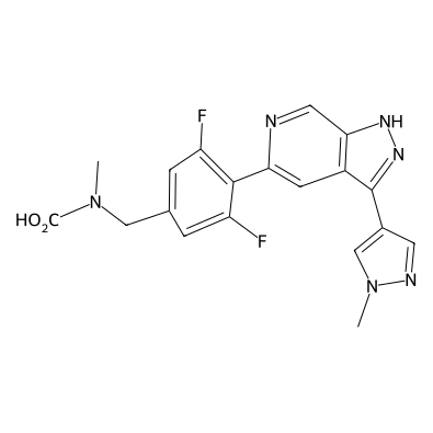 CN(Cc1cc(F)c(-c2cc3c(-c4cnn(C)c4)n[nH]c3cn2)c(F)c1)C(=O)O